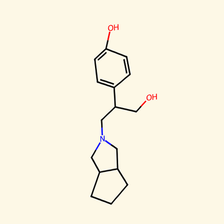 OCC(CN1CC2CCCC2C1)c1ccc(O)cc1